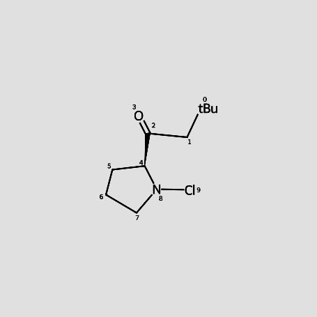 CC(C)(C)CC(=O)[C@@H]1CCCN1Cl